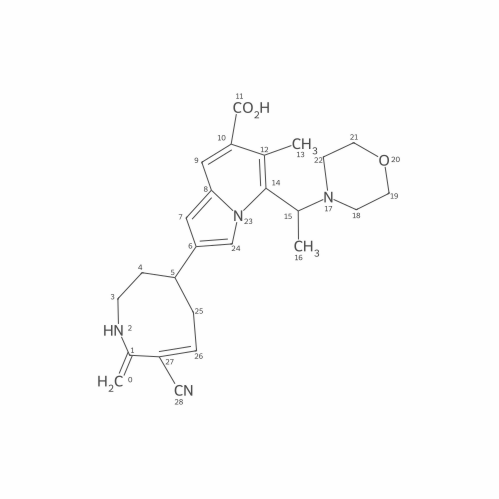 C=C1NCCC(c2cc3cc(C(=O)O)c(C)c(C(C)N4CCOCC4)n3c2)C/C=C\1C#N